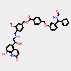 COc1cc(COC(=O)c2ccc(COc3cccc(C(NC=O)c4ccccc4)c3)cc2)ccc1CNCC(O)c1ccc(O)c2[nH]c(=O)ccc12